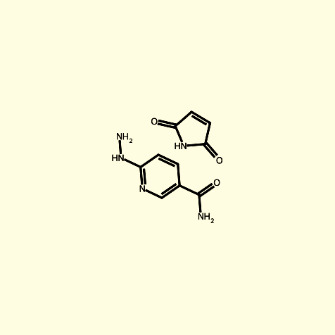 NNc1ccc(C(N)=O)cn1.O=C1C=CC(=O)N1